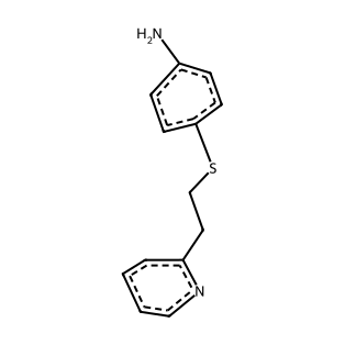 Nc1ccc(SCCc2ccccn2)cc1